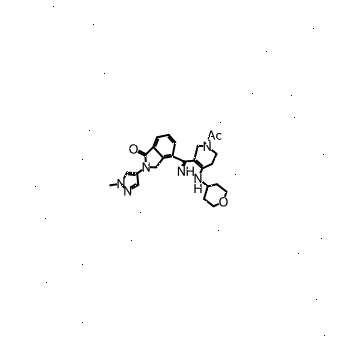 CC(=O)N1CCC(NC2CCOCC2)=C(C(=N)c2cccc3c2CN(c2cnn(C)c2)C3=O)C1